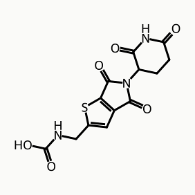 O=C(O)NCc1cc2c(s1)C(=O)N(C1CCC(=O)NC1=O)C2=O